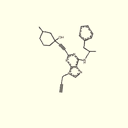 C#CCn1cnc2c(NC(C)Cc3ccccc3)nc(C#CC3(O)CCCC(C)C3)nc21